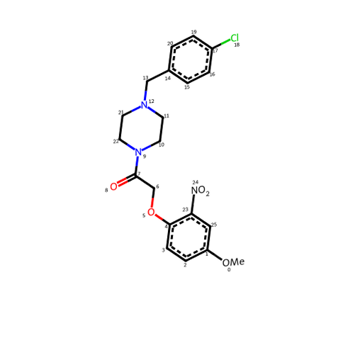 COc1ccc(OCC(=O)N2CCN(Cc3ccc(Cl)cc3)CC2)c([N+](=O)[O-])c1